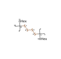 CCCCCCC(C)(C)SSSSC(C)(C)CCCCCC